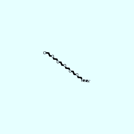 [N-]=[N+]=NCCOCCOCCOCCOCCOCCCl